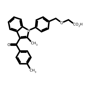 Cc1ccc(C(=O)c2c(C)n(-c3ccc(COCC(=O)O)cc3)c3ccccc23)cc1